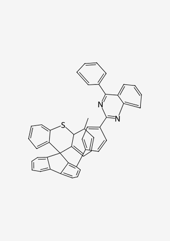 CC1C=CC=C2C1Sc1ccccc1C21c2ccccc2-c2cccc(-c3ccc(-c4nc(-c5ccccc5)c5ccccc5n4)cc3)c21